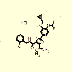 C[C@H](N)c1oc(-c2ccc(OC(F)F)c(OCC3CC3)c2)nc1C(=O)NCc1ccccc1Cl.Cl